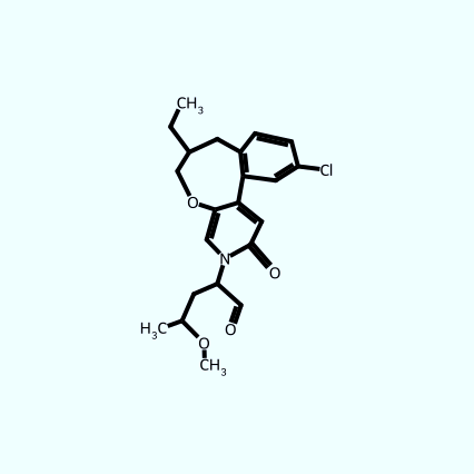 CCC1COc2cn(C(C=O)CC(C)OC)c(=O)cc2-c2cc(Cl)ccc2C1